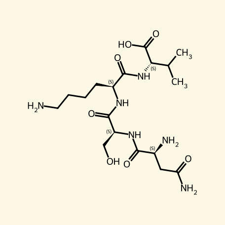 CC(C)[C@H](NC(=O)[C@H](CCCCN)NC(=O)[C@H](CO)NC(=O)[C@@H](N)CC(N)=O)C(=O)O